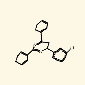 Clc1cccc(C2CC(C3=CC=CCC3)=NC(C3=CCCC=C3)=N2)c1